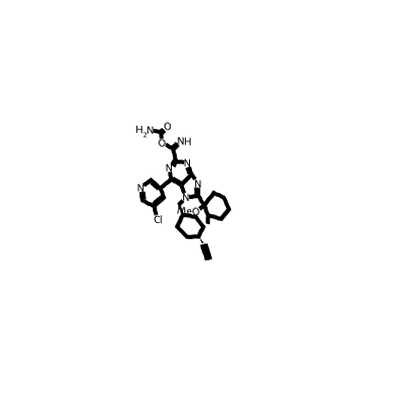 C#C[C@H]1CC[C@H](Cn2c(C3(OC)CCCCC3C)nc3nc(C(=N)OC(N)=O)nc(-c4cncc(Cl)c4)c32)CC1